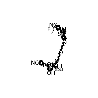 CC(C)(C)[C@H](NC(=O)COCCCCOCCCCCOc1ccc(N2C(=S)N(c3ccc(C#N)c(C(F)(F)F)c3)C(=O)C2(C)C)cc1)C(=O)N1C[C@H](O)C[C@H]1C(=O)NCc1ccc(C#N)cc1